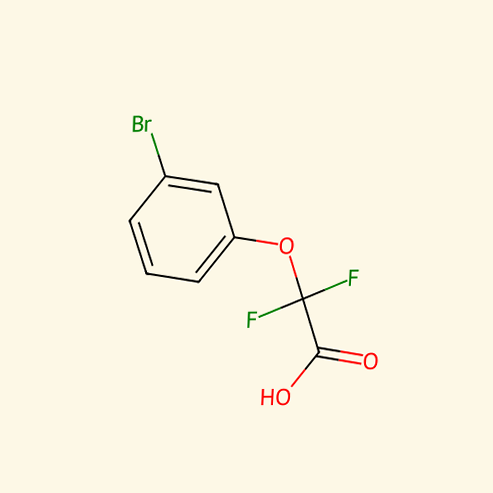 O=C(O)C(F)(F)Oc1cccc(Br)c1